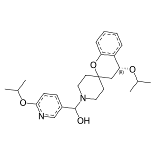 CC(C)Oc1ccc(C(O)N2CCC3(CC2)C[C@@H](OC(C)C)c2ccccc2O3)cn1